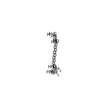 CCN(CC)c1ccc2cc(C(=O)NCCOCCOCCOCCOCCOCCOCCOCCOCCC(=O)NC(CCCNC(=N)N)C(N)=O)c(=O)oc2c1